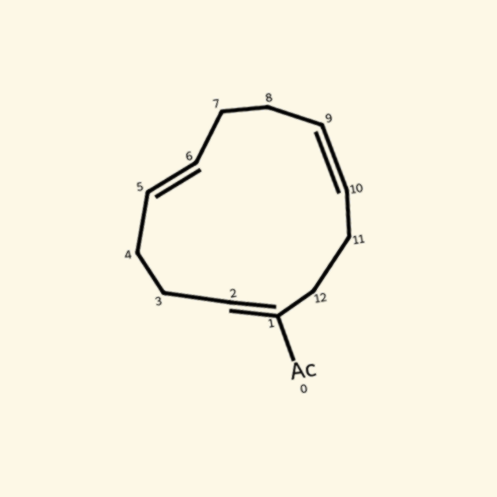 CC(=O)/C1=C\CC/C=C/CC/C=C\CC1